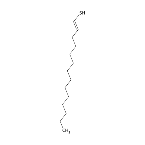 CCCCCCCCCCCCC=CS